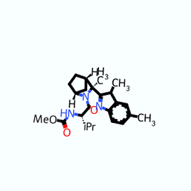 COC(=O)N[C@H](C(=O)N1[C@@H]2CC[C@@H](C2)[C@@]1(C)C1=Nc2ccc(C)cc2C1C)C(C)C